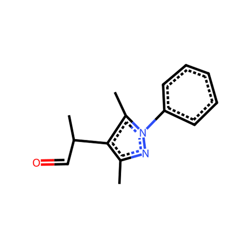 Cc1nn(-c2ccccc2)c(C)c1C(C)C=O